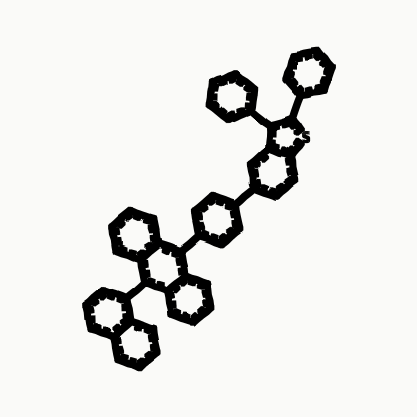 c1ccc(-c2sc3ccc(-c4ccc(-c5c6ccccc6c(-c6cccc7ccccc67)c6ccccc56)cc4)cc3c2-c2ccccc2)cc1